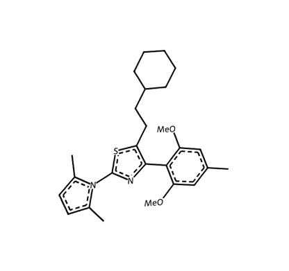 COc1cc(C)cc(OC)c1-c1nc(-n2c(C)ccc2C)sc1CCC1CCCCC1